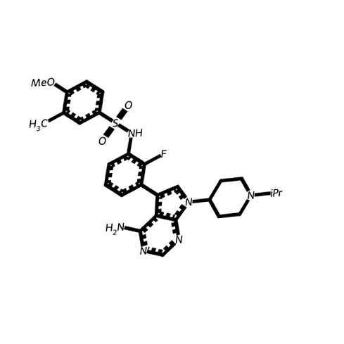 COc1ccc(S(=O)(=O)Nc2cccc(-c3cn(C4CCN(C(C)C)CC4)c4ncnc(N)c34)c2F)cc1C